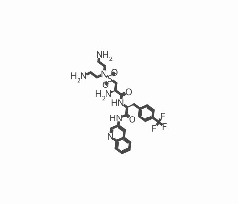 NCCN(CCN)S(=O)(=O)C[C@H](N)C(=O)N[C@@H](Cc1ccc(C(F)(F)F)cc1)C(=O)Nc1cnc2ccccc2c1